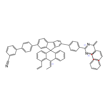 C=Cc1cccc2c1/C(=C\C)c1ccccc1C21c2cc(-c3ccc(C(=N/C(=C)c4ccccc4)/N=C(\C)c4ccccc4)cc3)ccc2-c2ccc(-c3ccc(-c4cccc(C#N)c4)cc3)cc21